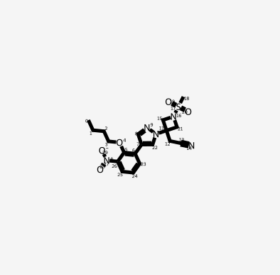 CCCCOc1c(-c2cnn(C3(CC#N)CN(S(C)(=O)=O)C3)c2)cccc1[N+](=O)[O-]